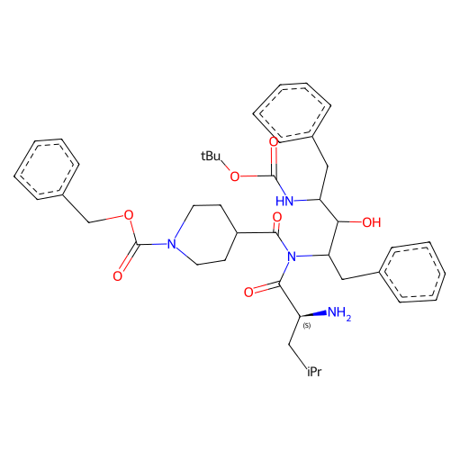 CC(C)C[C@H](N)C(=O)N(C(=O)C1CCN(C(=O)OCc2ccccc2)CC1)C(Cc1ccccc1)C(O)C(Cc1ccccc1)NC(=O)OC(C)(C)C